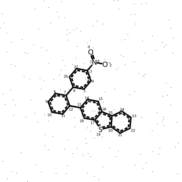 O=[N+]([O-])c1ccc(-c2ccccc2-c2ccc3c(c2)sc2ccccc23)cc1